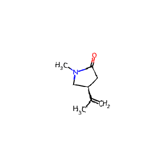 C=C(C)[C@@H]1CC(=O)N(C)C1